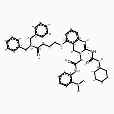 CN(C)c1ccccc1NC(=O)CN1Cc2c(cccc2OCCCC(=O)N(Cc2ccccc2)Cc2ccccc2)N=C1NC(=O)OC1CCCCC1